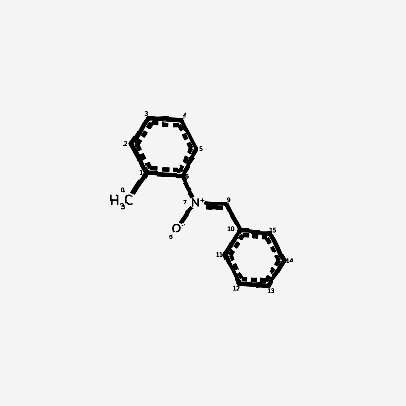 Cc1ccccc1[N+]([O-])=Cc1ccccc1